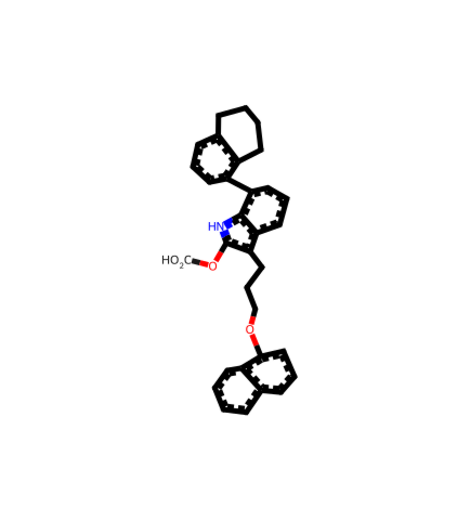 O=C(O)Oc1[nH]c2c(-c3cccc4c3CCCC4)cccc2c1CCCOc1cccc2ccccc12